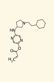 C=CC(=O)Oc1cnc(NC2CCN(CCC3CCCCC3)C2)cn1